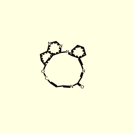 O=C1\C=N/C=c2/cccc/c2=N\c2ncnc3ccc(cc23)OC/C=C\C=N\1